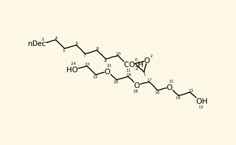 C1CO1.CCCCCCCCCCCCCCCCCC(=O)O.OCCOCCOCCOCCO